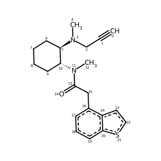 C#CCN(C)[C@@H]1CCCC[C@H]1N(C)C(=O)Cc1cccc2sccc12